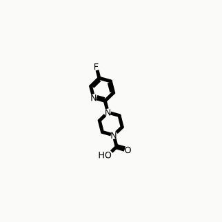 O=C(O)N1CCN(c2ccc(F)cn2)CC1